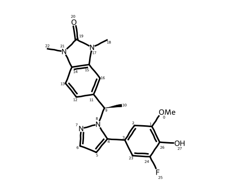 COc1cc(-c2ccnn2[C@H](C)c2ccc3c(c2)n(C)c(=O)n3C)cc(F)c1O